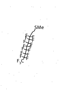 CSCCC(F)(F)C(F)(F)C(F)(F)C(F)(F)C(F)(F)C(F)(F)C(F)(F)C(F)(F)F